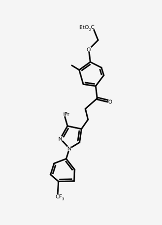 CCOC(=O)COc1ccc(C(=O)CCc2cn(-c3ccc(C(F)(F)F)cc3)nc2C(C)C)cc1C